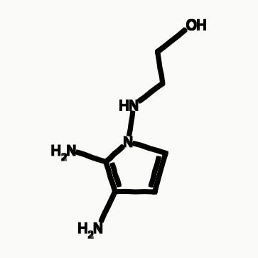 Nc1ccn(NCCO)c1N